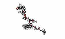 Cc1c(-c2ccc(-c3ccc4cccc(C(=O)Nc5nc6ccccc6s5)c4c3)nc2C(=O)O)cnn1CC12CC3(C)CC(C)(C1)CC(OCCN(CCC(=O)O)C(=O)OCc1ccc(OCCOCCNC(=O)CCCCCN4C(=O)C=CC4=O)cc1O[C@H]1O[C@@H](C(=O)O)C(O)[C@@H](O)[C@@H]1O)(C3)C2